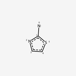 [N]c1nccs1